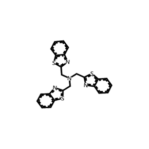 c1ccc2sc(CN(Cc3nc4ccccc4s3)Cc3nc4ccccc4s3)nc2c1